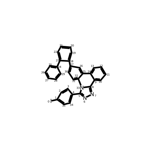 Ic1ccc(-c2nnc3c4ccccc4c4cc(-c5ccccc5-c5ccccc5)ccc4n23)cc1